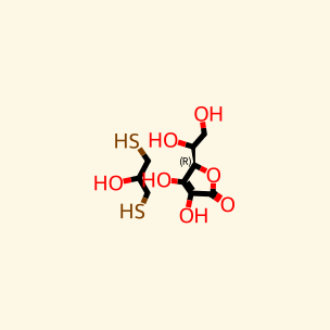 O=C1O[C@H](C(O)CO)C(O)=C1O.OC(CS)CS